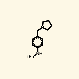 CC(C)(C)Nc1ccc(CN2CCCC2)cc1